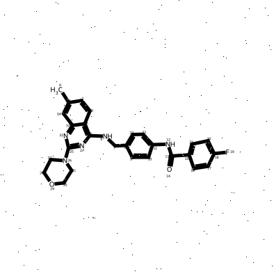 Cc1ccc2c(NCc3ccc(NC(=O)c4ccc(F)cc4)cc3)nc(N3CCOCC3)nc2c1